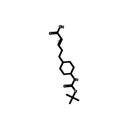 CC(C)(C)OC(=O)NC1CCC(CC/C=C/C(=O)O)CC1